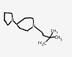 CC(C)(C)CCN1CCC(N2CCCC2)CC1